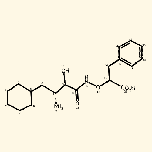 N[C@H](CC1CCCCC1)C(O)C(=O)NOC(Cc1ccccc1)C(=O)O